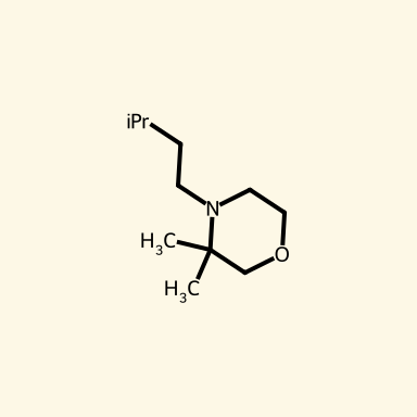 CC(C)CCN1CCOCC1(C)C